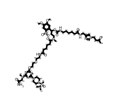 COc1cc(C(CCN(C)C(=O)CCCCC(=O)NCCOCCOc2nc(N(C)CC(N)=O)nc(N3CCN(P(C)(=O)N(C)C)CC3)n2)OC(=O)NCCCCCC(=O)NCc2cn(CCC(C)=O)nn2)c([N+](=O)[O-])cc1OC